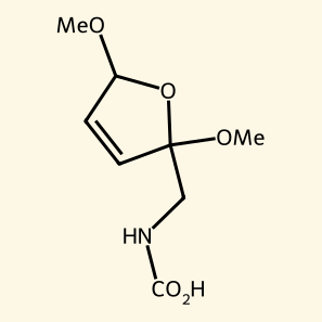 COC1C=CC(CNC(=O)O)(OC)O1